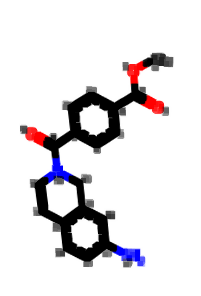 CC(C)(C)OC(=O)c1ccc(C(=O)N2C=Cc3ccc(N)cc3C2)cc1